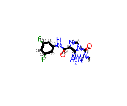 CN(N)C(=O)n1cnc(C(=O)Nc2cc(F)cc(F)c2)c1N